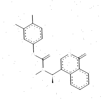 CCN(C(=O)Nc1ccc(F)c(Cl)c1)[C@@H](c1c[nH]c(=O)c2ccccc12)C(F)(F)F